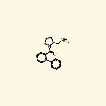 NC[C@@H]1CSCN1C(=O)c1ccccc1-c1ccccc1